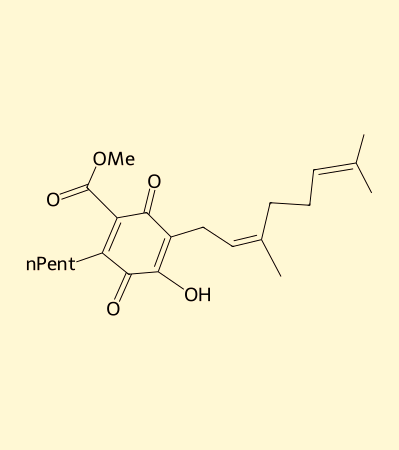 CCCCCC1=C(C(=O)OC)C(=O)C(CC=C(C)CCC=C(C)C)=C(O)C1=O